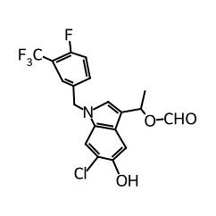 CC(OC=O)c1cn(Cc2ccc(F)c(C(F)(F)F)c2)c2cc(Cl)c(O)cc12